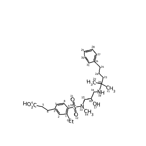 CCc1cc(CCC(=O)O)ccc1S(=O)(=O)N(C)CC(O)CNC(C)(C)CCCc1ccccc1